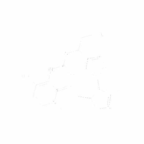 CCOC(=O)CC(NC(=O)Nc1c(O)ccn(C)c1=O)c1ccc(-c2c(C)noc2C)s1